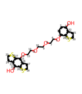 Oc1ccc(OCCOCCOCCOc2c3ccsc3c(O)c3ccsc23)c2sccc12